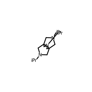 CC(C)N1CC23CN(C(C)C)CC2(C1)CN(C(C)C)C3